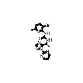 Cc1ccc(Br)c(NC(=O)N[C@@H](C)c2ncnn2-c2ncccn2)n1